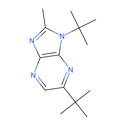 Cc1nc2ncc(C(C)(C)C)nc2n1C(C)(C)C